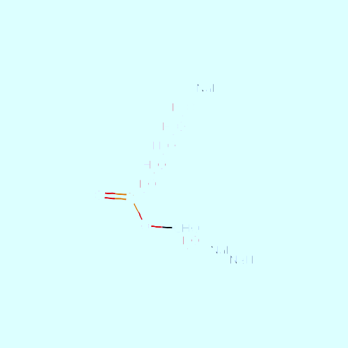 O.O.O.O.O.O.O=COP=O.[NaH].[NaH].[NaH]